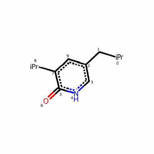 CC(C)Cc1c[nH]c(=O)c(C(C)C)c1